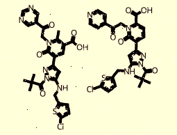 CC(C)(C)C(=O)n1nc(-c2ccc(C(=O)O)n(CC(=O)c3ccncc3)c2=O)cc1NCc1ccc(Cl)s1.Cc1c(C(=O)O)cc(-c2cc(NCc3ccc(Cl)s3)n(C(=O)C(C)(C)C)n2)c(=O)n1CC(=O)c1cncnc1